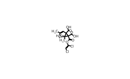 CC(C)=CC1(C(=O)O)C(C)(C)C1(C(=O)O)C(=O)OC(Cl)=CCl